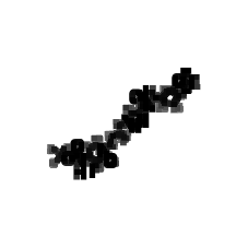 CC(C)(C)OC(=O)Nc1ccn(CCC(F)Cn2cc(C(=O)NCc3cccc(OC(F)(F)F)c3)nn2)c(=O)c1F